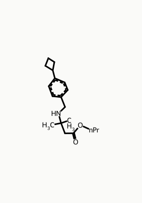 CCCOC(=O)CC(C)(C)NCc1ccc(C2CCC2)cc1